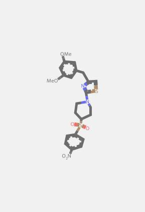 COc1cc(Cc2csc(N3CCC(S(=O)(=O)c4ccc([N+](=O)[O-])cc4)CC3)n2)cc(OC)c1